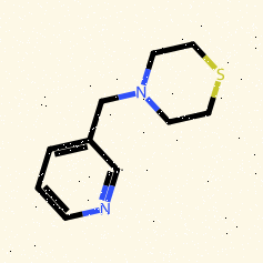 [c]1ncccc1CN1CCSCC1